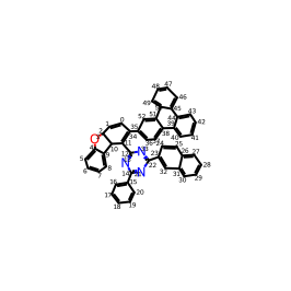 C1=CC2Oc3ccccc3C2C(c2nc(-c3ccccc3)nc(-c3ccc4ccccc4c3)n2)=C1c1ccc2c3ccccc3c3ccccc3c2c1